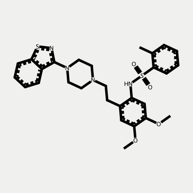 COc1cc(CCN2CCN(c3nsc4ccccc34)CC2)c(NS(=O)(=O)c2ccccc2C)cc1OC